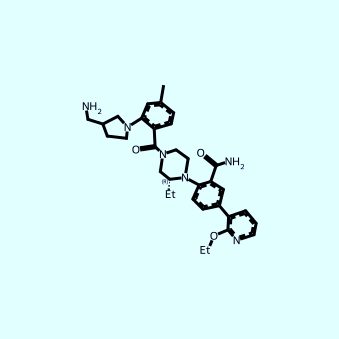 CCOc1ncccc1-c1ccc(N2CCN(C(=O)c3ccc(C)cc3N3CCC(CN)C3)C[C@H]2CC)c(C(N)=O)c1